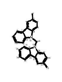 Cc1ccc2c(c1)c1ccccc1n2Cn1c2ccccc2c2cc(C)ccc21